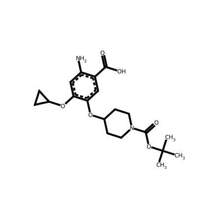 CC(C)(C)OC(=O)N1CCC(Oc2cc(C(=O)O)c(N)cc2OC2CC2)CC1